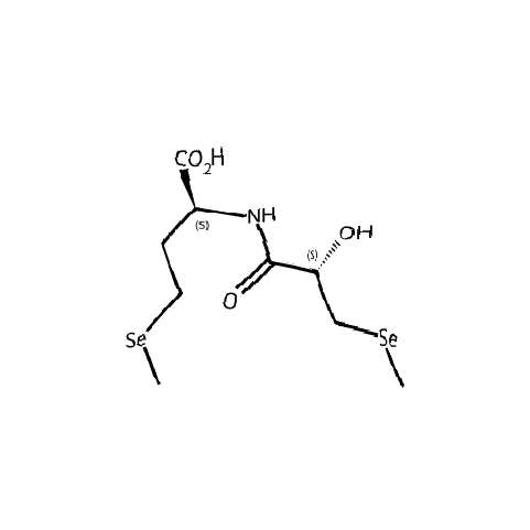 C[Se]CC[C@H](NC(=O)[C@H](O)C[Se]C)C(=O)O